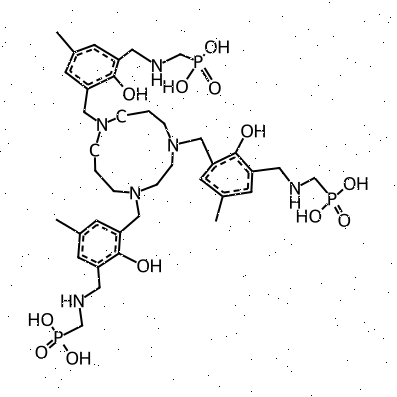 Cc1cc(CNCP(=O)(O)O)c(O)c(CN2CCCN(Cc3cc(C)cc(CNCP(=O)(O)O)c3O)CCN(Cc3cc(C)cc(CNCP(=O)(O)O)c3O)CCC2)c1